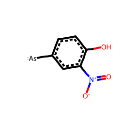 O=[N+]([O-])c1cc([As])ccc1O